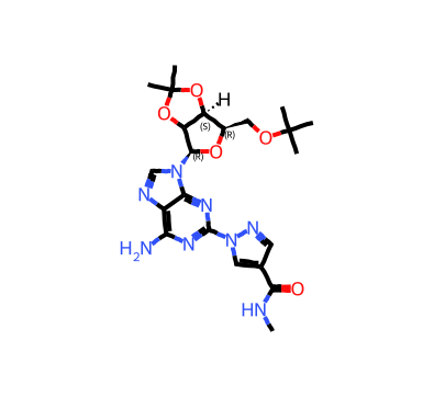 CNC(=O)c1cnn(-c2nc(N)c3ncn([C@@H]4O[C@H](COC(C)(C)C)[C@@H]5OC(C)(C)OC54)c3n2)c1